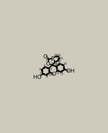 O=C1OC2(c3ccc(O)cc3Oc3cc(O)ccc32)C2C=CC=CP12